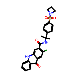 CC(C)(NC(=O)c1cc2[nH]c3ccccc3c(=O)c2cc1F)c1ccc(S(=O)(=O)N2CCC2)cc1